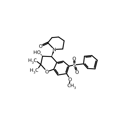 COc1cc2c(cc1S(=O)(=O)c1ccccc1)[C@H](N1CCCCC1=O)[C@@H](O)C(C)(C)O2